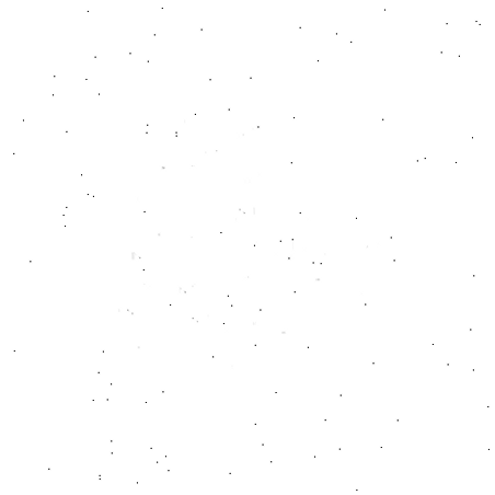 CC(=O)Nc1cc(Nc2ncc3ccc(-c4ccc(S(C)(=O)=O)cc4)n3n2)ccc1C(C)(C)C